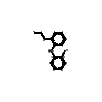 CCCc1ccccc1Nc1ccccc1F